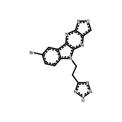 Brc1ccc2c(c1)c1nc3nocc3nc1n2CCc1nn[nH]n1